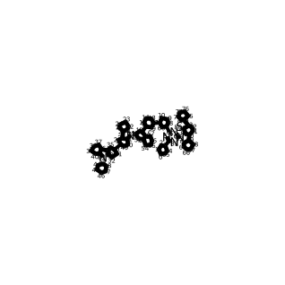 c1ccc(-c2nc(-c3cccc(-c4cccc(-c5cc(-n6c7ccccc7c7cc(-c8ccc9c(c8)c8ccccc8n9-c8ccccc8)ccc76)cc6ccccc56)c4)c3)nc(-n3c4ccccc4c4ccc5c6ccccc6sc5c43)n2)cc1